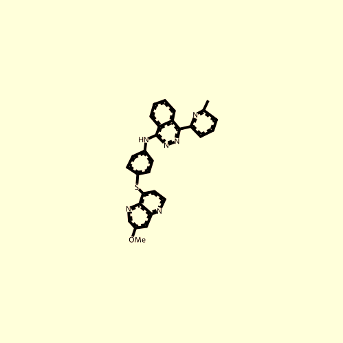 COc1cnc2c(Sc3ccc(Nc4nnc(-c5cccc(C)n5)c5ccccc45)cc3)ccnc2c1